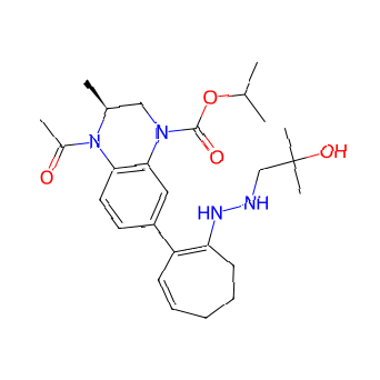 CC(=O)N1c2ccc(C3=C(NNCC(C)(C)O)CCCC=C3)cc2N(C(=O)OC(C)C)C[C@@H]1C